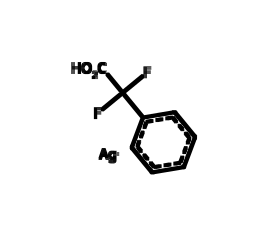 O=C(O)C(F)(F)c1ccccc1.[Ag]